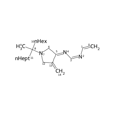 C=C/N=C\N=C1\CN(C(C)(CCCCCC)CCCCCCC)CC1=C